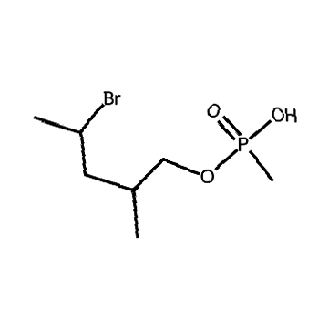 CC(Br)CC(C)COP(C)(=O)O